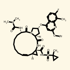 Cc1c(F)ccc2c(O[C@@H]3C[C@H]4C(=O)N[C@]5(C(=O)NS(=O)(=O)C6(C)CC6)C[C@H]5C=CCCCCC[C@H](NC(=O)N(C)C)C(=O)N4C3)cc(OC(C)C)nc12